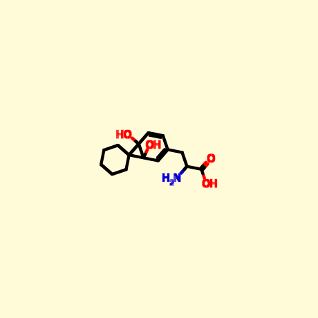 NC(CC1=CC2(O)C(O)(C=C1)C21CCCCC1)C(=O)O